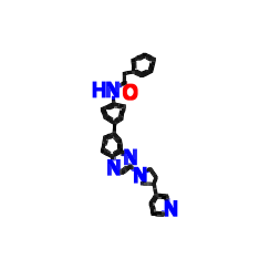 O=C(Cc1ccccc1)Nc1ccc(-c2ccc3ncc(N4CCC(c5cccnc5)C4)nc3c2)cc1